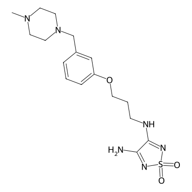 CN1CCN(Cc2cccc(OCCCNC3=NS(=O)(=O)N=C3N)c2)CC1